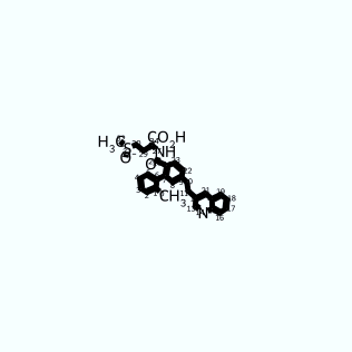 Cc1ccccc1-c1cc(CCc2cnc3ccccc3c2)ccc1C(=O)NC(CC[S+](C)[O-])C(=O)O